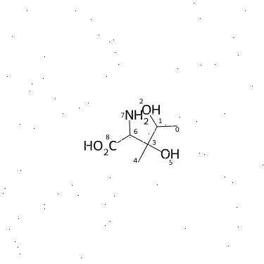 CC(O)C(C)(O)C(N)C(=O)O